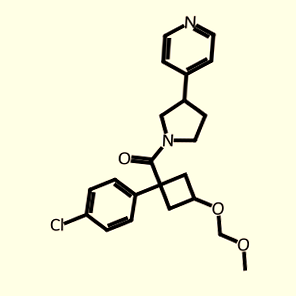 COCOC1CC(C(=O)N2CCC(c3ccncc3)C2)(c2ccc(Cl)cc2)C1